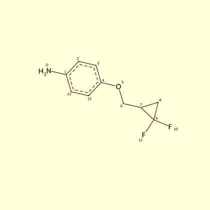 Nc1ccc(OCC2CC2(F)F)cc1